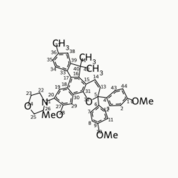 COc1ccc(C2(c3ccc(OC)cc3)C=Cc3c4c(c5cc(N6CCOCC6)c(OC)cc5c3O2)-c2ccc(C)cc2C4(C)C)cc1